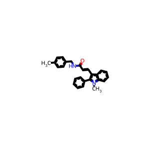 Cc1ccc(CNC(=O)C=Cc2c(-c3ccccc3)n(C)c3ccccc23)cc1